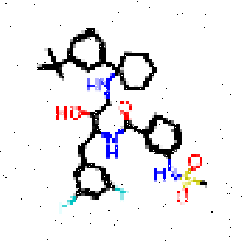 CC(C)(C)c1cccc(C2(NCC(O)C(Cc3cc(F)cc(F)c3)NC(=O)c3cccc(NS(C)(=O)=O)c3)CCCCC2)c1